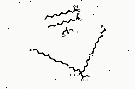 CC(C)(CO)CO.CC(C)CCCCCCCCCCCCCCCC(CCCCCCCCCCCCCCCC(C)C)(C(=O)O)C(O)C(=O)O.CCCCCCCCCC(=O)O.CCCCCCCCCC(=O)O